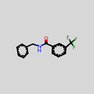 O=C(NCc1ccccc1)c1cccc(C(F)(F)F)c1